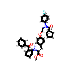 COC(=O)[C@H](Cc1ccc(OCCN(C(=O)C2CCCC2)c2ccc(F)cc2)cc1)Nc1ccccc1C(=O)c1ccccc1